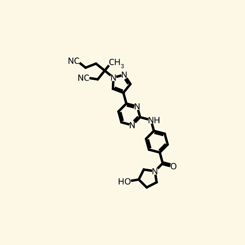 CC(CC#N)(CCC#N)n1cc(-c2ccnc(Nc3ccc(C(=O)N4CCC(O)C4)cc3)n2)cn1